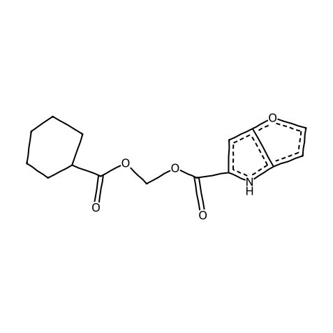 O=C(OCOC(=O)C1CCCCC1)c1cc2occc2[nH]1